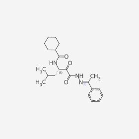 C/C(=N\NC(=O)C(=O)[C@H](CC(C)C)NC(=O)C1CCCCC1)c1ccccc1